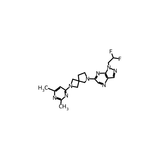 Cc1cc(N2CC3(CCN(c4cnc5cnn(CC(F)F)c5n4)C3)C2)nc(C)n1